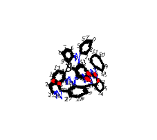 c1ccc(N2c3ccccc3B3c4ccccc4N(c4c(-c5ccccn5)cccc4-c4ccccn4)c4cc(N(C5CCCCC5)C5CCCCC5)cc2c43)cc1